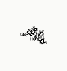 CC(C)(C)Cc1cnc2c(c1)[C@@H](NC[C@@H](O)[C@H](Cc1ccc(F)cc1)NC(=O)C1CCO1)CC1(CCC1)O2